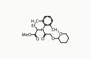 CCC(C(=O)OC)N(C(=O)COC1CCCCO1)c1c(C)cccc1C